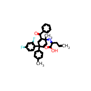 C=CCC(=NC1(C)C=CC(c2ccc(C)cc2)(c2ccc(F)cc2F)C=C1C(=O)c1ccccc1)C(=O)O